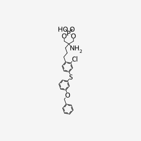 NC1(CCCc2ccc(Sc3cccc(OCc4ccccc4)c3)cc2Cl)COP(=O)(O)OC1